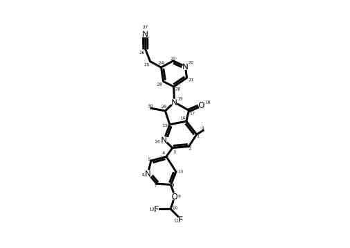 Cc1cc(-c2cncc(OC(F)F)c2)nc2c1C(=O)N(c1cncc(CC#N)c1)C2C